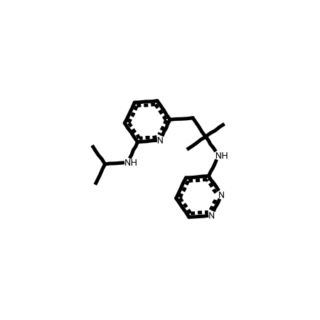 CC(C)Nc1cccc(CC(C)(C)Nc2cccnn2)n1